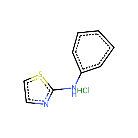 Cl.c1ccc(Nc2nccs2)cc1